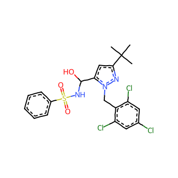 CC(C)(C)c1cc(C(O)NS(=O)(=O)c2ccccc2)n(Cc2c(Cl)cc(Cl)cc2Cl)n1